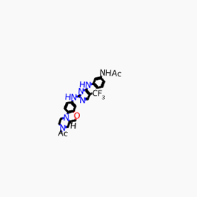 CC(=O)Nc1cccc(Nc2nc(Nc3ccc4c(c3)OC[C@H]3CN(C(C)=O)CCN43)ncc2C(F)(F)F)c1